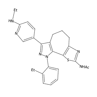 CCNc1ccc(-c2nn(-c3ccccc3CC)c3c2CCCc2nc(NC(C)=O)sc2-3)cn1